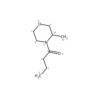 CC[CH]C(=O)N1CCOCC1C